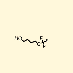 OCCCCOC(F)(F)F